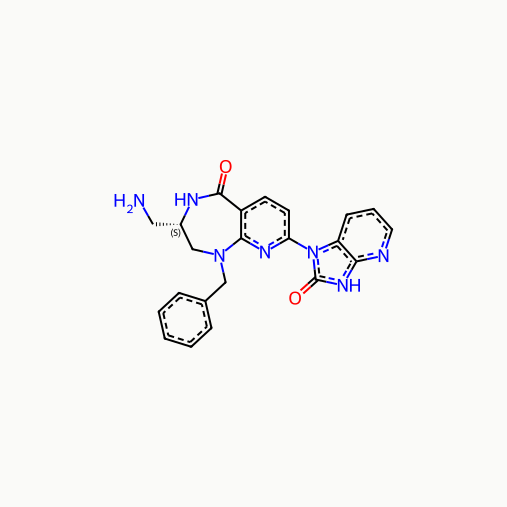 NC[C@H]1CN(Cc2ccccc2)c2nc(-n3c(=O)[nH]c4ncccc43)ccc2C(=O)N1